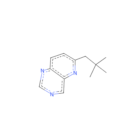 CC(C)(C)Cc1ccc2ncncc2n1